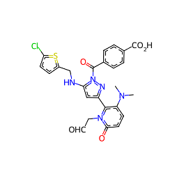 CN(C)c1ccc(=O)n(CC=O)c1-c1cc(NCc2ccc(Cl)s2)n(C(=O)c2ccc(C(=O)O)cc2)n1